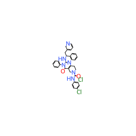 O=C(Nc1ccc(Cl)cc1Cl)N1CCc2nc(NC(Cc3cccnc3)c3ccccc3)n(-c3ccccc3)c(=O)c2C1